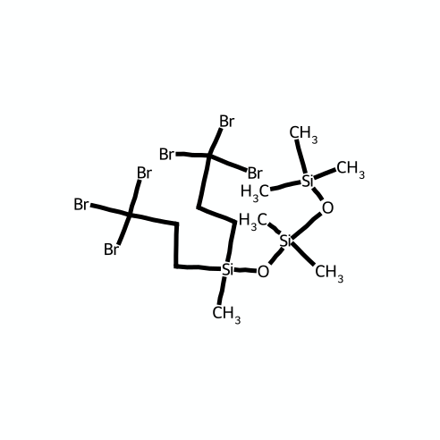 C[Si](C)(C)O[Si](C)(C)O[Si](C)(CCC(Br)(Br)Br)CCC(Br)(Br)Br